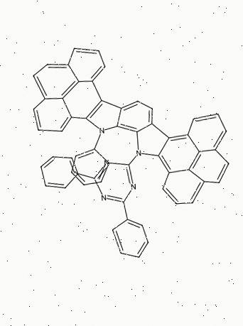 c1ccc(-c2nc(-c3ccccc3)nc(-n3c4c5cccc6ccc7cccc(c7c65)c4c4ccc5c6c7cccc8ccc9cccc(c9c87)c6n(-c6ccccc6)c5c43)n2)cc1